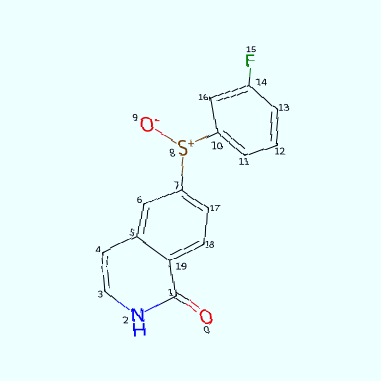 O=c1[nH]ccc2cc([S+]([O-])c3cccc(F)c3)ccc12